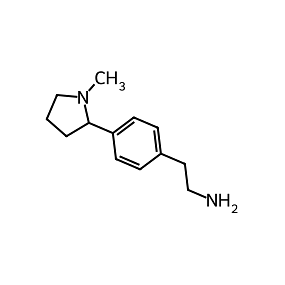 CN1CCCC1c1ccc(CCN)cc1